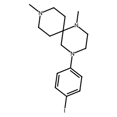 CN1CCC2(CC1)CN(c1ccc(I)cc1)CCN2C